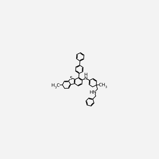 CC1C=c2sc3c(-c4ccc(-c5ccccc5)cc4)c(NC4=CCC(C)(CNCc5ccccc5)C=C4)ccc3c2=CC1